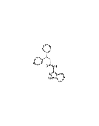 O=C(CC(c1ccccc1)c1ccccc1)Nc1n[nH]c2ccccc12